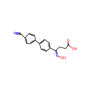 N#Cc1ccc(-c2ccc(/C(CCC(=O)O)=N/O)cc2)cc1